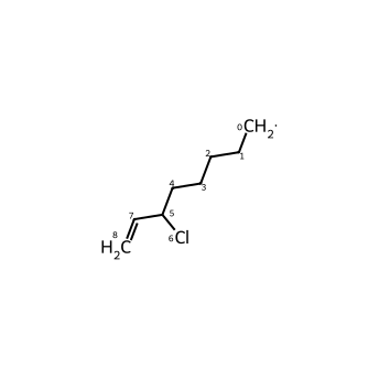 [CH2]CCCCC(Cl)C=C